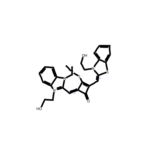 CCSC1=C(/C=C2/Sc3ccccc3N2CCO)C(=O)/C1=C/c1n(CC)c2ccccc2[n+]1CCO